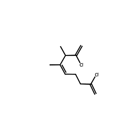 C=C(Cl)CC/C=C(/C)C(C)C(=C)Cl